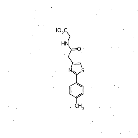 Cc1ccc(-c2nc(CC(=O)NCC(=O)O)cs2)cc1